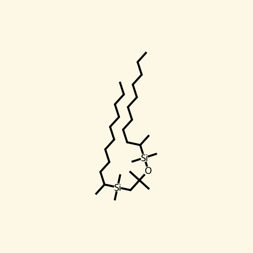 CCCCCCCCCC(C)[Si](C)(C)CC(C)(C)O[Si](C)(C)C(C)CCCCCCCCC